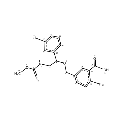 COC(=O)NCC(OCc1ccc(F)c(C(=O)O)c1)c1cccc(Cl)c1